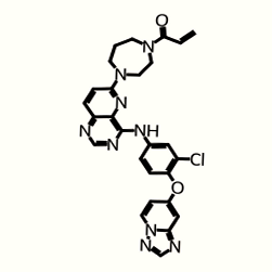 C=CC(=O)N1CCCN(c2ccc3ncnc(Nc4ccc(Oc5ccn6ncnc6c5)c(Cl)c4)c3n2)CC1